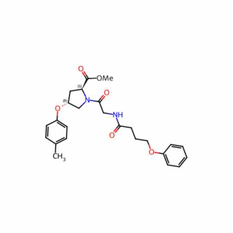 COC(=O)[C@@H]1C[C@@H](Oc2ccc(C)cc2)CN1C(=O)CNC(=O)CCCOc1ccccc1